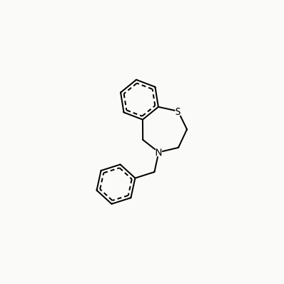 c1ccc(CN2CCSc3ccccc3C2)cc1